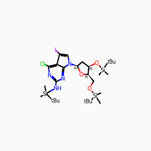 CC(C)(C)[Si](C)(C)Nc1nc(Cl)c2c(I)cn([C@H]3C[C@@H](O[Si](C)(C)C(C)(C)C)[C@@H](CO[Si](C)(C)C(C)(C)C)O3)c2n1